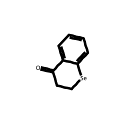 O=C1CC[Se]c2ccccc21